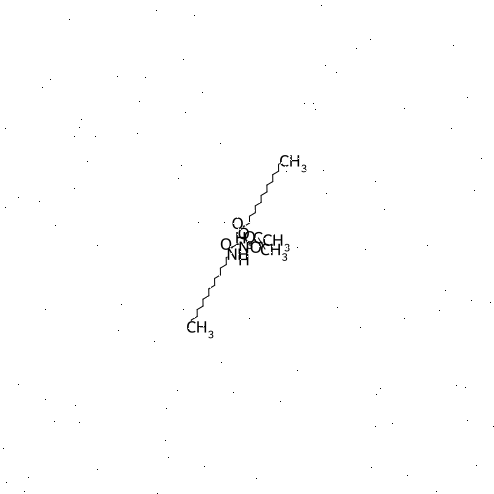 CCCCCCCCCCCCCCNC(=O)[C@H](COC(=O)CCCCCCCCCCCCC)NC(=O)OC(C)(C)C